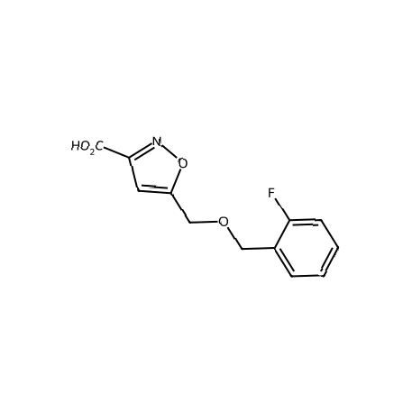 O=C(O)c1cc(COCc2ccccc2F)on1